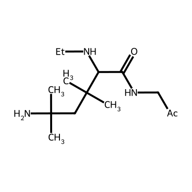 CCNC(C(=O)NCC(C)=O)C(C)(C)CC(C)(C)N